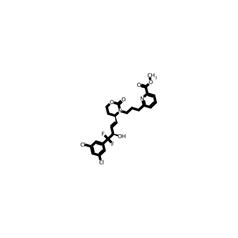 COC(=O)c1cccc(CCCN2C(=O)OCC[C@@H]2C=C[C@@H](O)C(F)(F)c2cc(Cl)cc(Cl)c2)n1